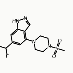 CS(=O)(=O)N1CCN(c2cc(C(F)F)cc3[nH]ncc23)CC1